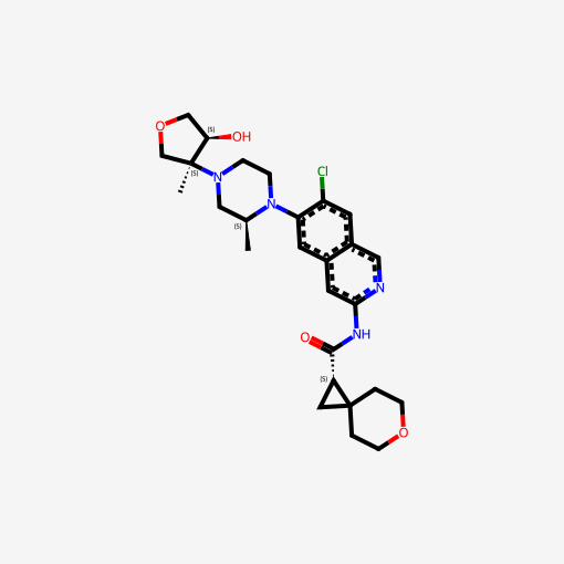 C[C@H]1CN([C@@]2(C)COC[C@H]2O)CCN1c1cc2cc(NC(=O)[C@H]3CC34CCOCC4)ncc2cc1Cl